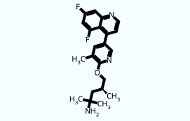 Cc1cc(-c2ccnc3cc(F)cc(F)c23)cnc1OC[C@@H](C)CC(C)(C)N